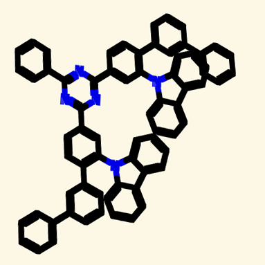 c1ccc(-c2cccc(-c3ccc(-c4nc(-c5ccccc5)nc(-c5ccc(-c6cccc(-c7ccccc7)c6)c(-n6c7ccccc7c7ccccc76)c5)n4)cc3-n3c4ccccc4c4ccccc43)c2)cc1